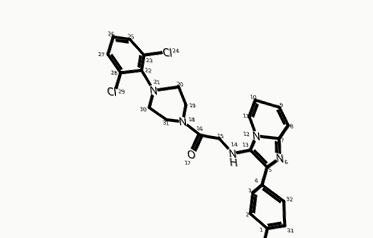 CC(C)c1ccc(-c2nc3ccccn3c2NCC(=O)N2CCN(c3c(Cl)cccc3Cl)CC2)cc1